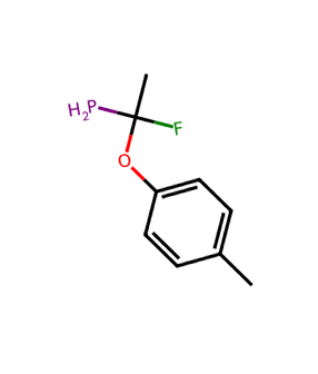 Cc1ccc(OC(C)(F)P)cc1